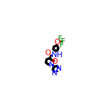 O=C(Nc1ccc(OC(F)(F)F)cc1)c1cccn(-c2cncnc2)c1=O